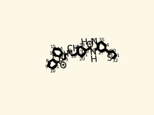 CN(CCP(=O)(c1ccccc1)c1ccccc1)Cc1ccc(C(=O)Nc2cc(-c3cccs3)ccc2N)cc1